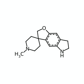 CN1CCC2(CC1)COc1cc3c(cc12)NCC3